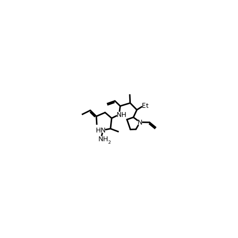 C=CC(NC(C/C(C)=C/C)C(C)NN)C(C)C(CC)C1CCCN1C=C